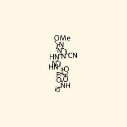 COCc1cn2c(Nc3cc([C@@H]4OC[C@H](OC(=O)NC56CC(C5)C6)[C@H]4F)[nH]n3)nc(C#N)cc2n1